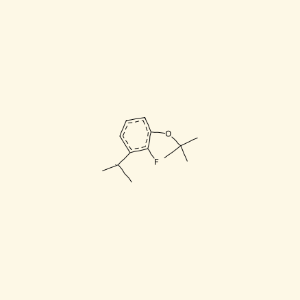 C[C](C)c1cccc(OC(C)(C)C)c1F